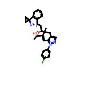 CCC1=Cc2c(cnn2-c2ccc(F)cc2)CC1(C)[C@@H](O)CCc1ccccc1C1(N)CC1